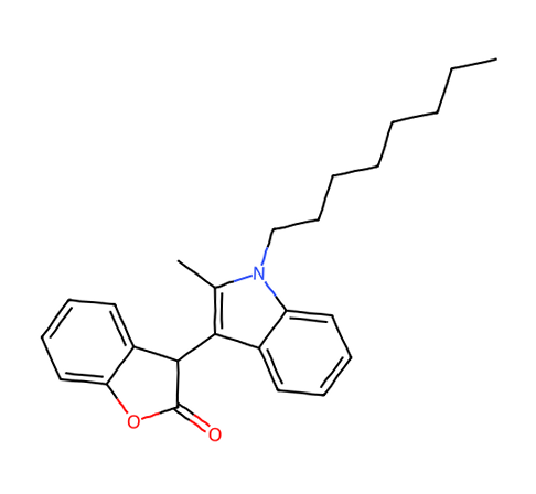 CCCCCCCCn1c(C)c(C2C(=O)Oc3ccccc32)c2ccccc21